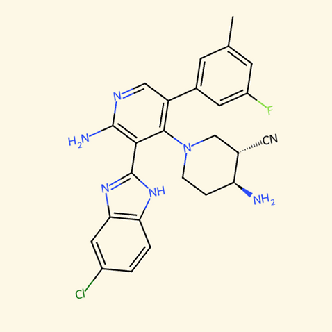 Cc1cc(F)cc(-c2cnc(N)c(-c3nc4cc(Cl)ccc4[nH]3)c2N2CC[C@H](N)[C@@H](C#N)C2)c1